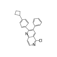 Clc1nccc2nc(-c3ccc(C4CCC4)cc3)c(-c3ccccc3)cc12